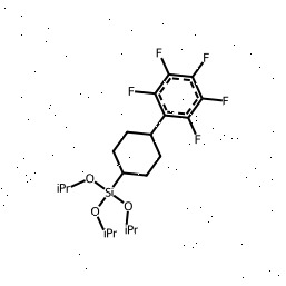 CC(C)O[Si](OC(C)C)(OC(C)C)C1CCC(c2c(F)c(F)c(F)c(F)c2F)CC1